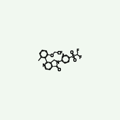 Cc1cccc(OCC(F)(F)F)c1-c1nccc2c1CN(c1ccc(S(=O)(=O)C(F)F)cc1)C2=O